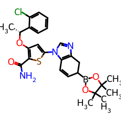 C[C@@H](Oc1cc(-n2cnc3c2C=CC(B2OC(C)(C)C(C)(C)O2)C3)sc1C(N)=O)c1ccccc1Cl